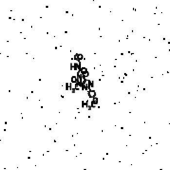 COc1ccc(-c2ncc3c(=O)n(CC(=O)NCc4ccco4)c(=O)n(C)c3n2)cc1